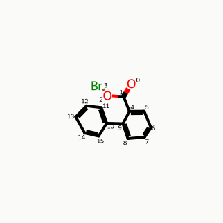 O=C(OBr)c1ccccc1-c1ccccc1